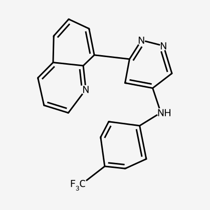 FC(F)(F)c1ccc(Nc2cnnc(-c3cccc4cccnc34)c2)cc1